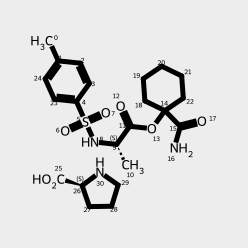 Cc1ccc(S(=O)(=O)N[C@@H](C)C(=O)OC2(C(N)=O)CCCCC2)cc1.O=C(O)[C@@H]1CCCN1